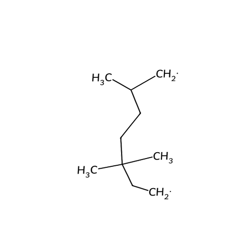 [CH2]CC(C)(C)CCC([CH2])C